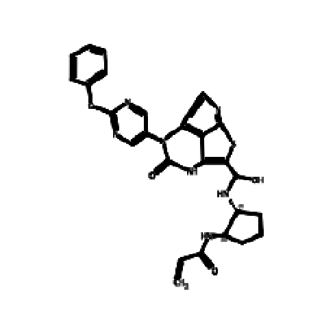 C=CC(=O)N[C@@H]1CCC[C@H]1NC(O)c1sc2nccc3c2c1NC(=O)N3c1cnc(Oc2ccccc2)nc1